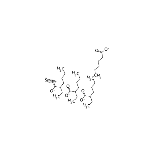 CCCCC(CC)C(=O)[O-].CCCCC(CC)C(=O)[O-].CCCCC(CC)C(=O)[O-].CCCCCC(=O)[O-].[Sn+2].[Sn+2]